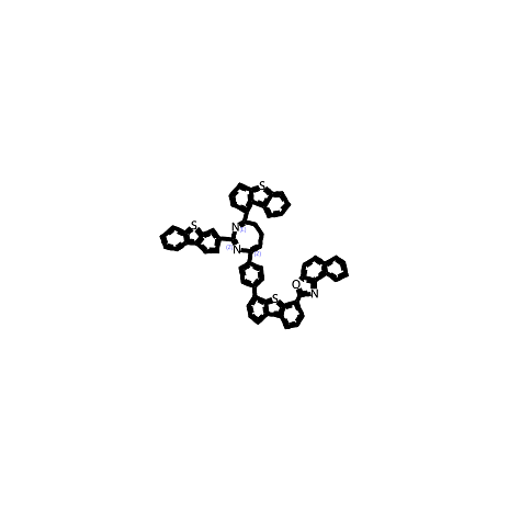 C1=C(c2ccc(-c3cccc4c3sc3c(-c5nc6c(ccc7ccccc76)o5)cccc34)cc2)/N=C(c2ccc3c(c2)sc2ccccc23)\N=C(\c2cccc3sc4ccccc4c23)CC\1